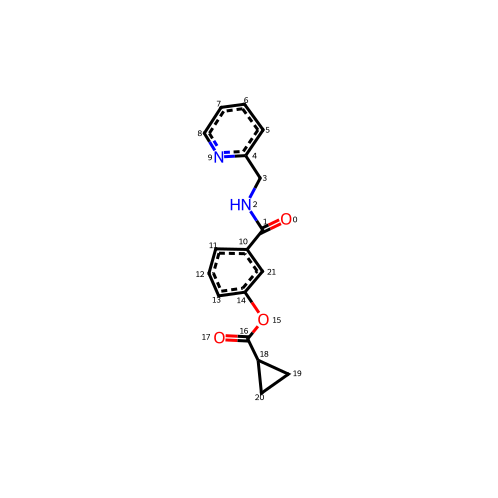 O=C(NCc1ccccn1)c1cccc(OC(=O)C2CC2)c1